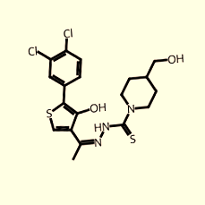 C/C(=N/NC(=S)N1CCC(CO)CC1)c1csc(-c2ccc(Cl)c(Cl)c2)c1O